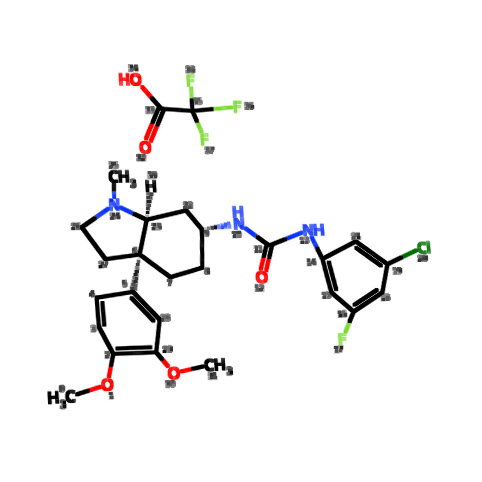 COc1ccc([C@@]23CC[C@@H](NC(=O)Nc4cc(F)cc(Cl)c4)C[C@@H]2N(C)CC3)cc1OC.O=C(O)C(F)(F)F